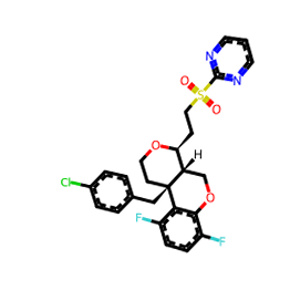 O=S(=O)(CC[C@@H]1OCC[C@@]2(Cc3ccc(Cl)cc3)c3c(F)ccc(F)c3OC[C@@H]12)c1ncccn1